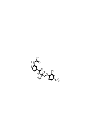 CCC(=O)Nc1cc(C(=O)NC(C)(C)COc2ncc(C(F)(F)F)cc2Cl)ccn1